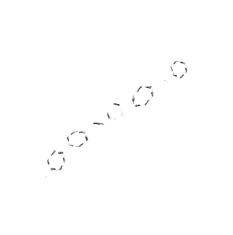 O=C(/C=C/c1ccc(-c2ccc(Cl)cc2)cc1)N[C@@H](Cc1ccc(OCc2ccccc2)cc1)C(=O)O